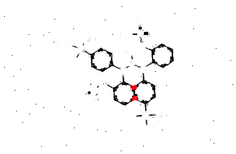 CCCCN(P(c1ccc([Si](CCCC)(CCCC)CCCC)cc1)c1ccccc1OS(C)(=O)=O)P(c1ccc([Si](CCCC)(CCCC)CCCC)cc1)c1ccccc1OS(C)(=O)=O